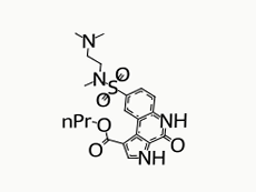 CCCOC(=O)c1c[nH]c2c(=O)[nH]c3ccc(S(=O)(=O)N(C)CCN(C)C)cc3c12